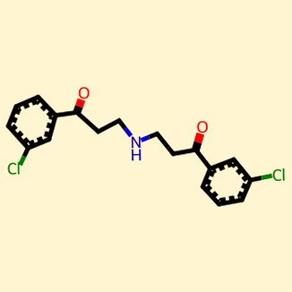 O=C(CCNCCC(=O)c1cccc(Cl)c1)c1cccc(Cl)c1